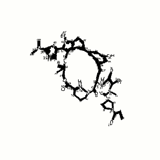 C=CC(=O)N1CC[C@H](C(=O)N(C)C(C(=O)N[C@H]2Cc3cc(O)cc(c3)-c3ccc4c(c3)c(c(-c3cnc(N(C)C)s3)n4CC)CC(C)(C)COC(=O)[C@@H]3CCCN(N3)C2=O)C(C)C)C1